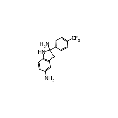 Nc1ccc2c(c1)SC(N)(c1ccc(C(F)(F)F)cc1)N2